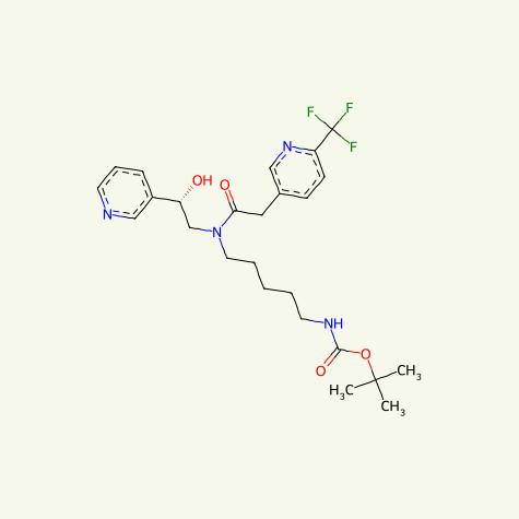 CC(C)(C)OC(=O)NCCCCCN(C[C@@H](O)c1cccnc1)C(=O)Cc1ccc(C(F)(F)F)nc1